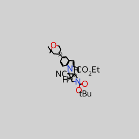 CCOC(=O)c1cc2cc([C@H]3CCOC(C)(C)C3)ccc2n1C1(C#N)[C@@H]2CN(C(=O)OC(C)(C)C)C[C@@H]21